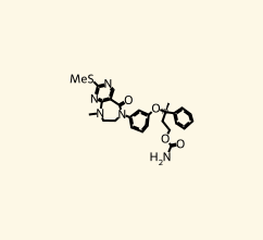 CSc1ncc2c(n1)N(C)CCN(c1cccc(O[C@@](C)(CCOC(N)=O)c3ccccc3)c1)C2=O